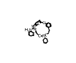 NC1=Nc2ccc3cc2CN1[C@@H](C1CCCCC1)CCCN(C1CCCCC1)CCCc1cccc(c1)O3